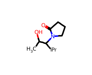 CC(C)C(C(C)O)N1CCCC1=O